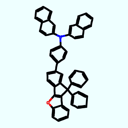 c1ccc(C2(c3ccccc3)c3cc(-c4ccc(N(c5ccc6ccccc6c5)c5ccc6ccccc6c5)cc4)ccc3-c3oc4ccccc4c32)cc1